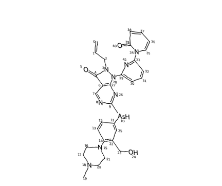 C=CCn1c(=O)c2cnc([AsH]c3ccc(N4CCN(C)CC4)c(CO)c3)nc2n1-c1cccc(-n2ccccc2=O)n1